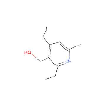 CCc1cc(C)nc(CC)c1CO